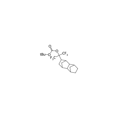 CC(C)(C)OC(=O)OC(C1CC2CC1C1C3CCC(C3)C21)(C(F)(F)F)C(F)(F)F